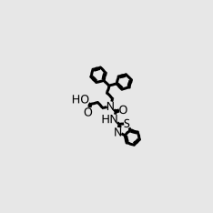 O=C(O)CCN(CCC(c1ccccc1)c1ccccc1)C(=O)Nc1nc2ccccc2s1